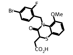 COc1cccc2c1N(Cc1ccc(Br)cc1F)C(=O)C(CC(=O)O)S2